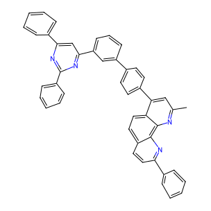 Cc1cc(-c2ccc(-c3cccc(-c4cc(-c5ccccc5)nc(-c5ccccc5)n4)c3)cc2)c2ccc3ccc(-c4ccccc4)nc3c2n1